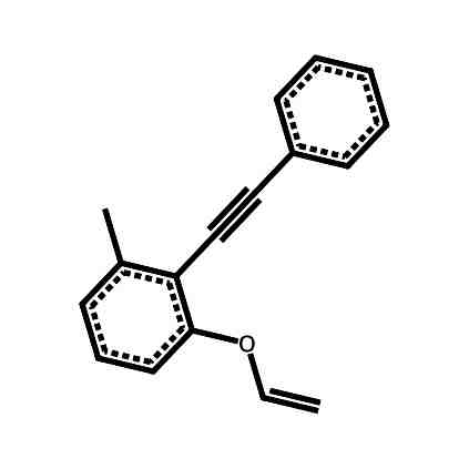 C=COc1cccc(C)c1C#Cc1ccccc1